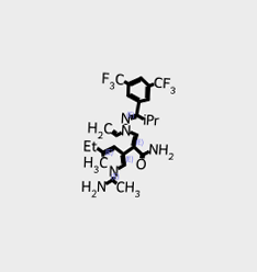 C=CN(/C=C(/C(N)=O)C(=C/N=C(\C)N)/C=C(\C)CC)/N=C(/c1cc(C(F)(F)F)cc(C(F)(F)F)c1)C(C)C